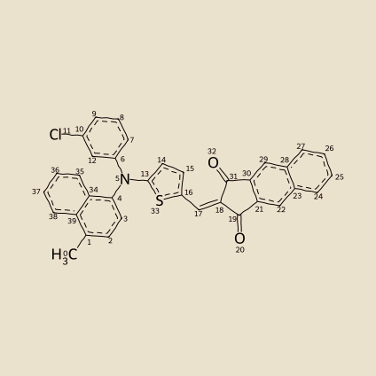 Cc1ccc(N(c2cccc(Cl)c2)c2ccc(C=C3C(=O)c4cc5ccccc5cc4C3=O)s2)c2ccccc12